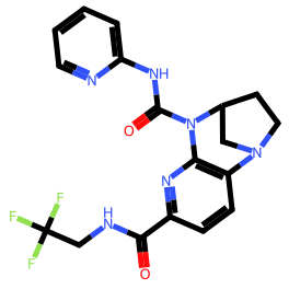 O=C(NCC(F)(F)F)c1ccc2c(n1)N(C(=O)Nc1ccccn1)C1CCN2C1